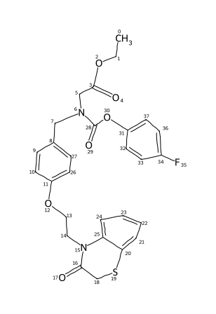 CCOC(=O)CN(Cc1ccc(OCCN2C(=O)CSc3ccccc32)cc1)C(=O)Oc1ccc(F)cc1